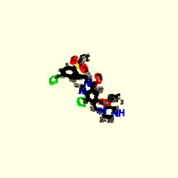 CCS(=O)(=O)c1ccc(Cl)cc1Cn1cnc2c(Cl)c(CN3CCNCC3)c(OC(F)(F)F)cc2c1=O